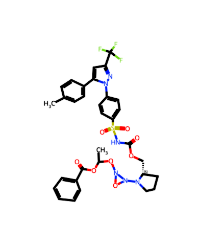 Cc1ccc(-c2cc(C(F)(F)F)nn2-c2ccc(S(=O)(=O)NC(=O)OC[C@@H]3CCCN3n3on3OC(C)OC(=O)c3ccccc3)cc2)cc1